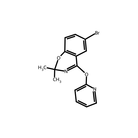 CC1(C)N=C(Oc2ccccn2)c2cc(Br)ccc2O1